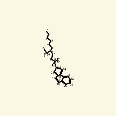 CCCCCCC(CCC(F)Oc1ccc2c(ccc3ccccc32)c1)C(C)F